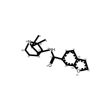 CC1(C)C(NC(=O)c2ccc3ccoc3c2)C2CCN1CC2